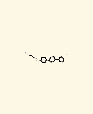 COCCCCOc1ccc(-c2ccc(-c3cccc(O)c3)cc2)cc1